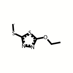 [CH2]Sc1nnc(OCC)s1